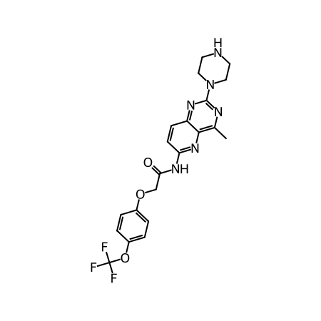 Cc1nc(N2CCNCC2)nc2ccc(NC(=O)COc3ccc(OC(F)(F)F)cc3)nc12